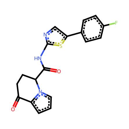 O=C1CCC(C(=O)Nc2ncc(-c3ccc(F)cc3)s2)n2cccc21